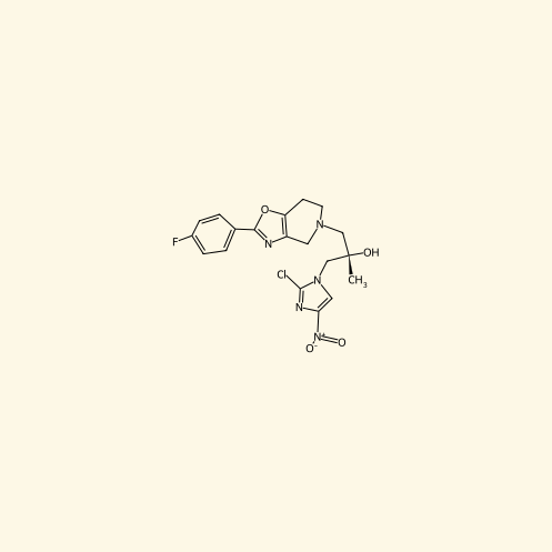 C[C@](O)(CN1CCc2oc(-c3ccc(F)cc3)nc2C1)Cn1cc([N+](=O)[O-])nc1Cl